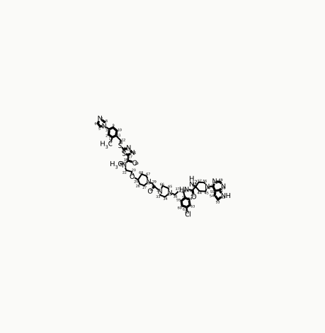 Cc1cc(-n2ccnc2)ccc1CSc1nnc(C(=O)N(C)CCOC2CCN(CC(=O)N3CCN(CC[C@H](NC(=O)C4(N)CCN(c5ncnc6[nH]ccc56)CC4)c4ccc(Cl)cc4)CC3)CC2)s1